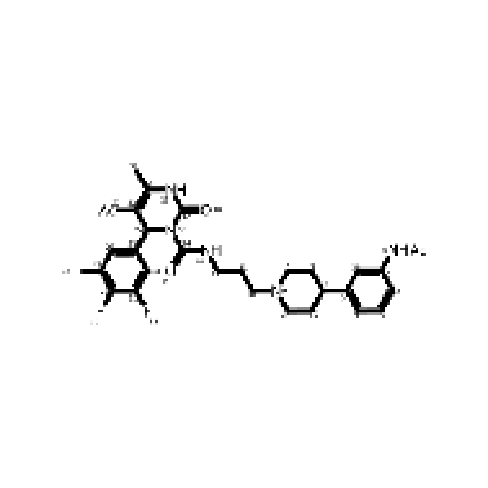 CC(=O)Nc1cccc(C2CCN(CCCNC(=O)N3C(=O)NC(C)=C(C(C)=O)C3c3cc(F)c(F)c(F)c3)CC2)c1